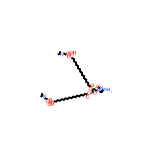 CC(C)=NCCOP(=O)(O)OCCCCCCCCCCCCCCCCCC(=O)OC[C@H]1O[C@@H](n2ccc(N)nc2=O)C(F)(F)C1OC(=O)CCCCCCCCCCCCCCCCCOP(=O)(O)OCCN=C(C)C